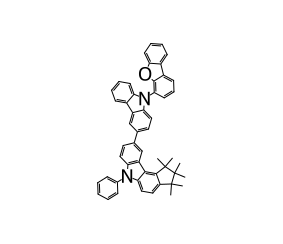 CC1(C)c2ccc3c(c2C(C)(C)C1(C)C)c1cc(-c2ccc4c(c2)c2ccccc2n4-c2cccc4c2oc2ccccc24)ccc1n3-c1ccccc1